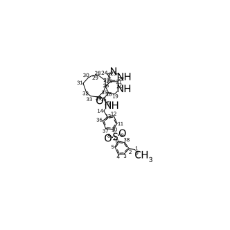 CCc1cccc(S(=O)(=O)c2ccc(CNC(=O)C3CNc4[nH]ncc4C34CCCCCCCCC4)cc2)c1